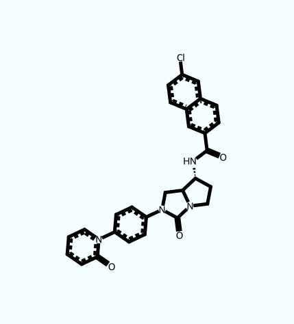 O=C(N[C@@H]1CCN2C(=O)N(c3ccc(-n4ccccc4=O)cc3)CC12)c1ccc2cc(Cl)ccc2c1